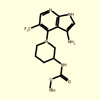 CC(C)(C)OC(=O)NC1CCCN(c2c(C(F)(F)F)cnc3[nH]cc(N)c23)C1